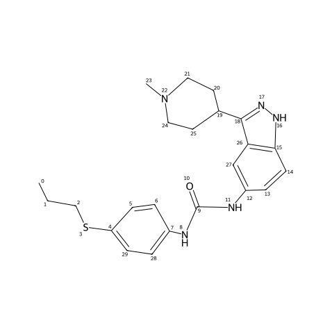 CCCSc1ccc(NC(=O)Nc2ccc3[nH]nc(C4CCN(C)CC4)c3c2)cc1